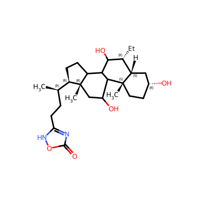 CC[C@H]1C(O)C2C3CC[C@H]([C@H](C)CCc4nc(=O)o[nH]4)[C@@]3(C)CC(O)C2[C@@]2(C)CC[C@@H](O)C[C@@H]12